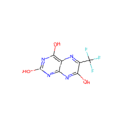 Oc1nc(O)c2nc(C(F)(F)F)c(O)nc2n1